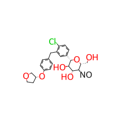 O=N[C@H]1[C@H](O)[C@@H](O)[C@H](c2ccc(Cl)c(Cc3ccc(O[C@@H]4CCOC4)cc3)c2)O[C@@H]1CO